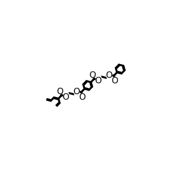 C=C/C=C(\C=C)C(=O)OCCOC(=O)c1ccc(C(=O)OCCOC(=O)c2ccccc2)cc1